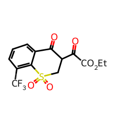 CCOC(=O)C(=O)C1CS(=O)(=O)c2c(cccc2C(F)(F)F)C1=O